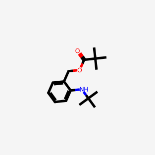 CC(C)(C)Nc1ccccc1COC(=O)C(C)(C)C